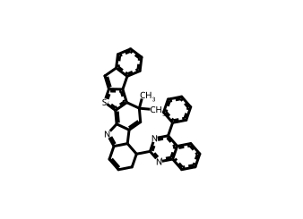 CC1(C)C=C2C(=c3sc4c(c31)-c1ccccc1C=4)N=C1C=CCC(c3nc(-c4ccccc4)c4ccccc4n3)C21